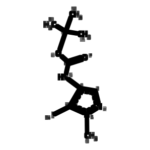 Cn1ncc(NC(=O)OC(C)(C)C)c1I